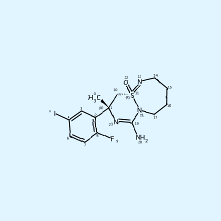 C[C@@]1(c2cc(I)ccc2F)C[S@]2(=O)=NCCCCN2C(N)=N1